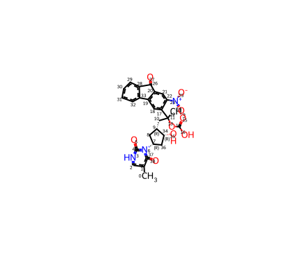 Cc1c[nH]c(=O)n([C@@H]2C[C@H](CC(C)(OC(=O)O)c3cc4c(cc3[N+](=O)[O-])C(=O)c3ccccc3-4)[C@H](O)C2)c1=O